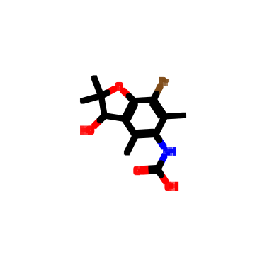 Cc1c(Br)c2c(c(C)c1NC(=O)O)C(O)C(C)(C)O2